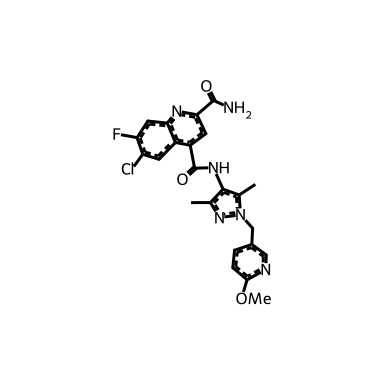 COc1ccc(Cn2nc(C)c(NC(=O)c3cc(C(N)=O)nc4cc(F)c(Cl)cc34)c2C)cn1